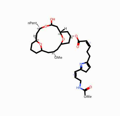 CCCCC[C@H]1C[C@@H]2CCCC(C[C@@H](OC)CC3C[C@@H](OC(=O)/C=C\CCC4=CCC(/C=C\CNC(=O)OC)=N4)C[C@@H](CC(O)O1)O3)O2